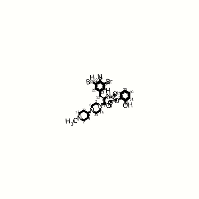 CN1CCC(N2CCN(C(=O)[C@@H](Cc3cc(Br)c(N)c(Br)c3)NS(=O)(=O)Oc3ccccc3O)CC2)CC1